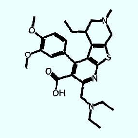 CCC1CN(C)Cc2sc3nc(CN(CC)CC)c(C(=O)O)c(-c4ccc(OC)c(OC)c4)c3c21